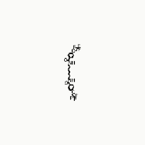 O=C(NCCCCCCCNC(=O)c1ccc(OCC(F)(F)F)cc1)c1ccc(OCC(F)(F)F)cc1